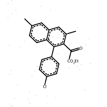 CCOC(=O)C(=O)c1c(C)cc2cc(C)ccc2c1-c1ccc(Cl)cc1